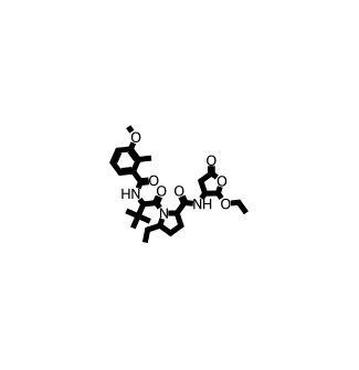 CCOC1OC(=O)CC1NC(=O)C1CCC(CC)N1C(=O)C(NC(=O)c1cccc(OC)c1C)C(C)(C)C